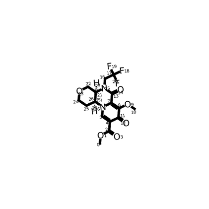 COC(=O)c1cn2c(c(OC)c1=O)C(=O)N(CC(F)(F)F)[C@@H]1COCC[C@@H]12